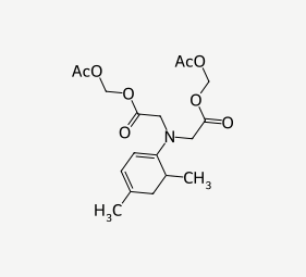 CC(=O)OCOC(=O)CN(CC(=O)OCOC(C)=O)C1=CC=C(C)CC1C